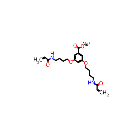 C=CC(=O)NCCCCOc1cc(OCCCCNC(=O)C=C)cc(C(=O)[O-])c1.[Na+]